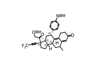 CNc1ccc([C@H]2C[C@@]3(C)[C@@H](CC[C@]3(C#CC(F)(F)F)C(=O)COC)[C@@H]3CC(C)C4=CC(=O)CCC4=C32)cc1